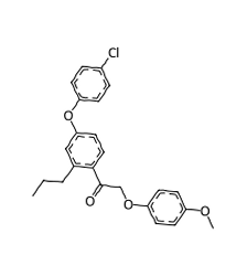 CCCc1cc(Oc2ccc(Cl)cc2)ccc1C(=O)COc1ccc(OC)cc1